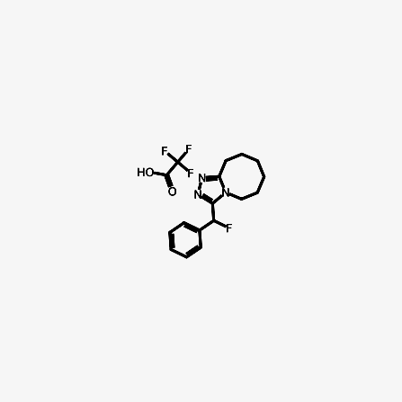 FC(c1ccccc1)c1nnc2n1CCCCCC2.O=C(O)C(F)(F)F